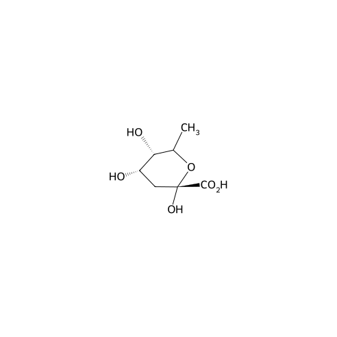 CC1O[C@@](O)(C(=O)O)C[C@H](O)[C@@H]1O